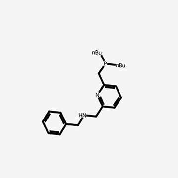 CCCCP(CCCC)Cc1cccc(CNCc2ccccc2)n1